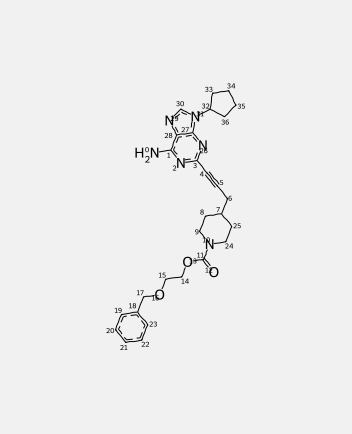 Nc1nc(C#CCC2CCN(C(=O)OCCOCc3ccccc3)CC2)nc2c1ncn2C1CCCC1